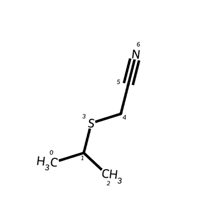 CC(C)SCC#N